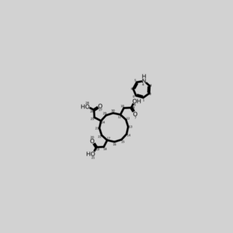 C1=CC=CNC=C1.O=C(O)CC1CCCCCC(CC(=O)O)CCC(CC(=O)O)CC1